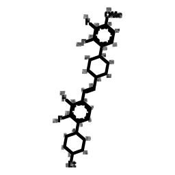 CCC1CCC(c2ccc(/C=C/C3CCC(c4ccc(OC)c(F)c4F)CC3)c(F)c2F)CC1